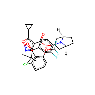 CC(C)(C)C(=O)c1ccc(N2[C@@H]3CC[C@H]2C[C@@H](OC(=O)c2c(-c4c(Cl)cccc4OC(F)F)noc2C2CC2)C3)c(F)c1